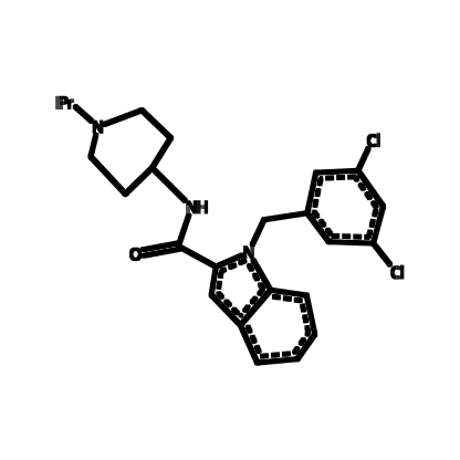 CC(C)N1CCC(NC(=O)c2cc3ccccc3n2Cc2cc(Cl)cc(Cl)c2)CC1